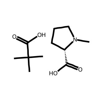 CC(C)(C)C(=O)O.CN1CCC[C@H]1C(=O)O